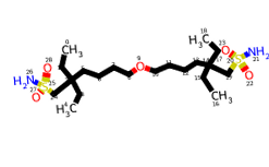 CCC(CC)(CCCCOCCCCC(CC)(CC)CS(N)(=O)=O)CS(N)(=O)=O